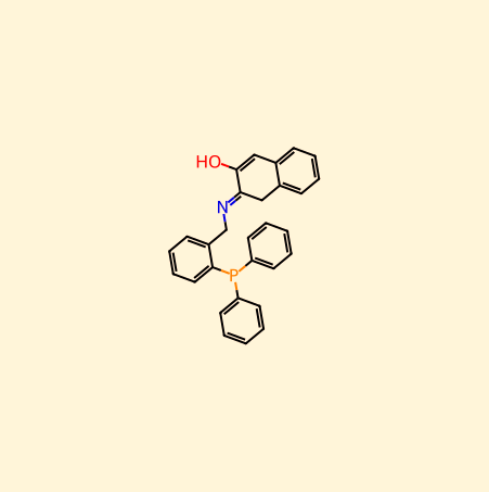 OC1=Cc2ccccc2CC1=NCc1ccccc1P(c1ccccc1)c1ccccc1